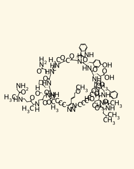 COC/C=C/c1c2nnn1CCCCCC[C@@](C)(NC(=O)[C@H](Cc1ccccc1)NC(=O)[C@@H](NC(=O)[C@H](CC(C)C)NC(C)=O)[C@@H](C)O)C(=O)N[C@@H](CCC(=O)O)C(=O)N[C@@H](Cc1ccc(O)cc1)C(=O)N[C@@H](Cc1c[nH]c3ccccc13)C(=O)CC(=O)[C@H](C)NCN[C@@H](CCC(N)=O)C(=O)N[C@@H](CC1CCC1)C(=O)N[C@](C)(C(=O)N[C@@H](CO)C(=O)CN[C@@H](C)C(=O)CCN[C@@H](C)C(=O)CN)CCC2